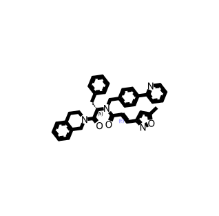 Cc1cc(/C=C/C(=O)N(Cc2ccc(-c3ccccn3)cc2)[C@@H](Cc2ccccc2)C(=O)N2CCc3ccccc3C2)no1